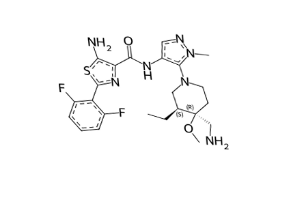 CC[C@H]1CN(c2c(NC(=O)c3nc(-c4c(F)cccc4F)sc3N)cnn2C)CC[C@@]1(CN)OC